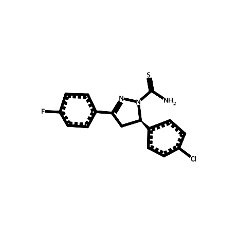 NC(=S)N1N=C(c2ccc(F)cc2)C[C@@H]1c1ccc(Cl)cc1